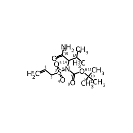 C=CCS(=O)(=O)N(C(=O)OC(C)(C)C)C(C(N)=O)C(C)C